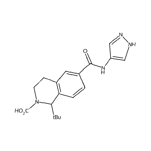 CC(C)(C)C1c2ccc(C(=O)Nc3cn[nH]c3)cc2CCN1C(=O)O